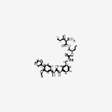 CCC(COC(=O)[C@H](N)C(C)CC)OC(=O)NCc1cccc(NC(=O)Nc2ccc(-c3cnco3)c(OC)c2)c1